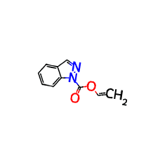 C=COC(=O)n1ncc2ccccc21